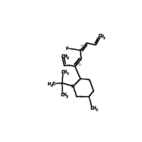 C=C/C=C(F)\C=C(/C=C)C1CCC(C)CN1C(C)(C)C